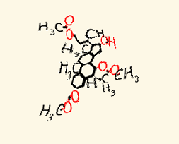 CC[C@H]1[C@@H](OCOC)C2C3C[C@H](O)[C@H]([C@H](C)CCOC(C)=O)[C@@]3(C)CCC2[C@@]2(C)CC[C@@H](OCOC)C[C@@H]12